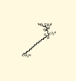 O=C(O)CCCCCCCCCCCCCCCCCCC(=O)N[C@@H](CCC(=O)N[C@@H](CO)C(=O)O)C(=O)O